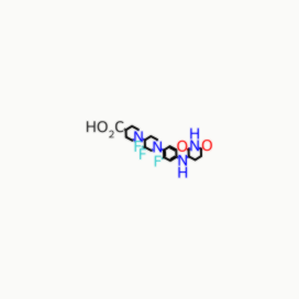 O=C1CCC(Nc2ccc(N3CCC(N4CCC(C(=O)O)CC4)C(F)(F)C3)c(F)c2)C(=O)N1